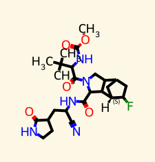 COC(=O)NC(C(=O)N1CC2C3CC(F)[C@@H](C3)C2C1C(=O)NC(C#N)CC1CCNC1=O)C(C)(C)C